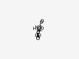 Cc1c(C(=O)NCCC2CCOCC2)n(S)c2ccc(S(=O)(=O)N3CCCCCC3)cc12